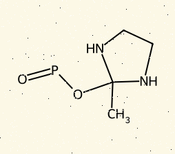 CC1(OP=O)NCCN1